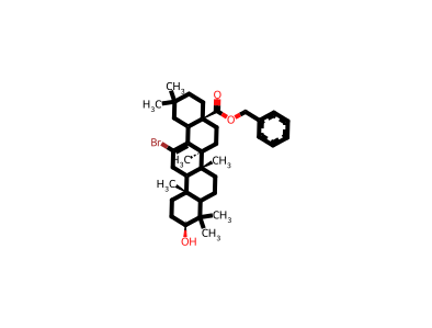 CC1(C)CC[C@]2(C(=O)OCc3ccccc3)CC[C@]3(C)C(=C(Br)CC4[C@@]5(C)CC[C@H](O)C(C)(C)C5CC[C@]43C)C2C1